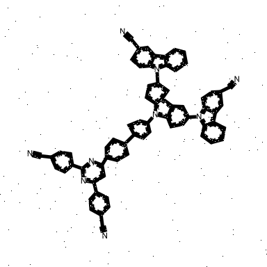 N#Cc1ccc(-c2cc(-c3ccc(-c4ccc(-n5c6ccc(-n7c8ccccc8c8cc(C#N)ccc87)cc6c6cc(-n7c8ccccc8c8cc(C#N)ccc87)ccc65)cc4)cc3)nc(-c3ccc(C#N)cc3)n2)cc1